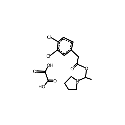 CC(OC(=O)Cc1ccc(Cl)c(Cl)c1)N1CCCC1.O=C(O)C(=O)O